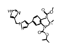 COC(=O)N1c2ccc(-c3cnn(Cc4c[nH]cn4)c3)cc2N(C(=O)OC(C)C)C[C@@H]1C